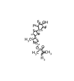 Cc1nc(COC(C)C(=O)N(C)C)sc1-c1csc(-c2cc(F)c(O)c(F)c2F)n1